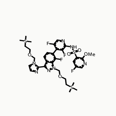 COc1ncc(F)cc1S(=O)(=O)Nc1ncc(F)c(-c2ccc3c(-c4nccn4COCCS(C)(C)C)nn(COCCS(C)(C)C)c3c2F)c1F